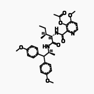 CC[C@H](C)[C@H](NC(=O)c1nccc(OC)c1OC(C)=O)C(=O)N[C@@H](C)C(c1ccc(OC)cc1)c1ccc(OC)cc1